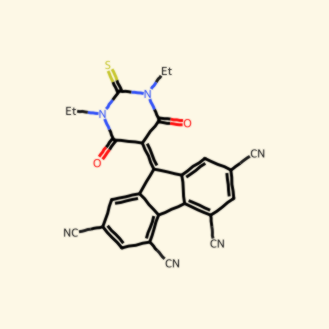 CCN1C(=O)C(=C2c3cc(C#N)cc(C#N)c3-c3c(C#N)cc(C#N)cc32)C(=O)N(CC)C1=S